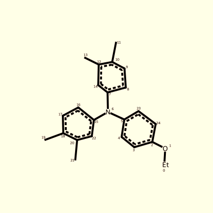 CCOc1ccc(N(c2ccc(C)c(C)c2)c2ccc(C)c(C)c2)cc1